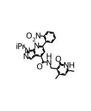 Cc1cc(C)c(CNC(=O)c2cc(-c3ccccc3[N+](=O)[O-])nc3c2cnn3C(C)C)c(=O)[nH]1